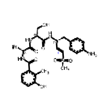 Cc1c(O)cccc1C(=O)N[C@H](C(=O)N[C@@H](CO)C(=O)N[C@H](/C=C/S(C)(=O)=O)Cc1ccc(N)cc1)C(C)C